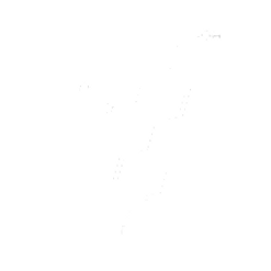 CCOc1cc(CO)ccc1-c1ccc(F)cc1